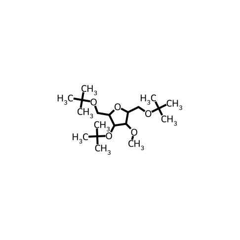 COC1C(COC(C)(C)C)OC(COC(C)(C)C)C1OC(C)(C)C